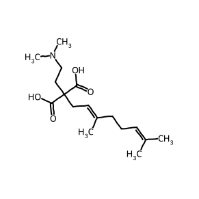 CC(C)=CCC/C(C)=C/CC(CCN(C)C)(C(=O)O)C(=O)O